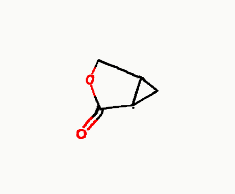 O=C1OCC2C[C]12